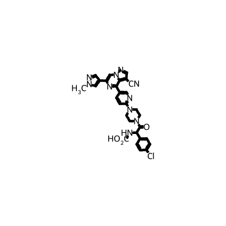 Cn1cc(-c2cn3ncc(C#N)c3c(-c3ccc(N4CCN(C(=O)C(NC(=O)O)c5ccc(Cl)cc5)CC4)nc3)n2)cn1